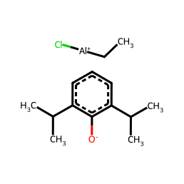 CC(C)c1cccc(C(C)C)c1[O-].C[CH2][Al+][Cl]